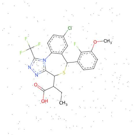 CCC(C(=O)O)C1SC(c2cccc(OC)c2F)c2cc(Cl)ccc2-n2c1nnc2C(F)(F)F